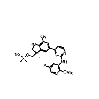 COc1ncc(F)cc1Nc1nccc(-c2cc(C#N)c3c(c2)[C@@](C)(CO[Si](C)(C)C(C)(C)C)CN3)n1